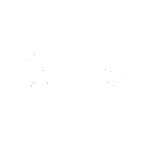 C=C(CN[C@H]1CCN(c2nc(Nc3cn(C)nc3OC)c3ncn(C)c3n2)C1)C(=O)NCCNC(=O)CCOCCOCCOCCOCCNC(=O)C[C@H]1N=C(c2ccc(Cl)cc2)c2c(sc(C)c2C)-n2c(C)nnc21